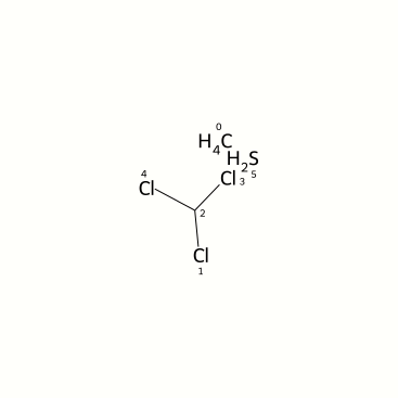 C.ClC(Cl)Cl.S